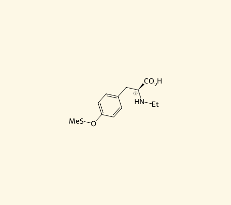 CCN[C@@H](Cc1ccc(OSC)cc1)C(=O)O